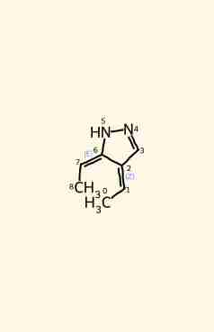 C/C=c1/cn[nH]/c1=C/C